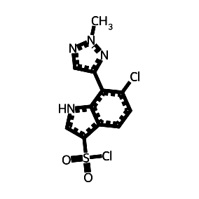 Cn1ncc(-c2c(Cl)ccc3c(S(=O)(=O)Cl)c[nH]c23)n1